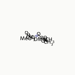 COc1cc(OC)c(-c2cc3ccccc3n2C)cc1/C=C/C(=O)c1ccc(S(=O)(=O)N(C)C)cc1